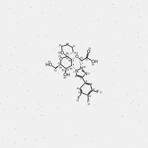 C[C@H](O[C@@H]1[C@H](n2cc(-c3cc(F)c(F)c(F)c3)nn2)[C@@H](O)[C@@H](CO)O[C@]12CCCCO2)C(=O)O